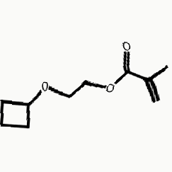 C=C(C)C(=O)OCCOC1CCC1